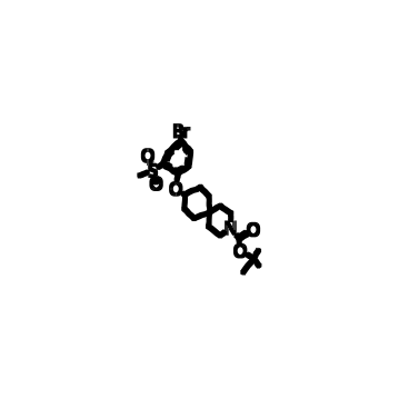 CC(C)(C)OC(=O)N1CCC2(CCC(Oc3ccc(Br)cc3S(C)(=O)=O)CC2)CC1